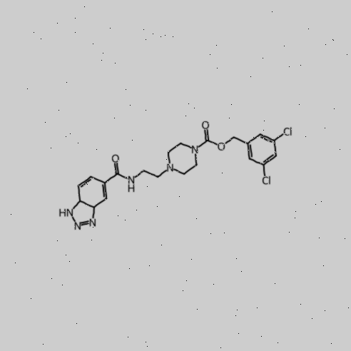 O=C(NCCN1CCN(C(=O)OCc2cc(Cl)cc(Cl)c2)CC1)C1=CC2N=NNC2C=C1